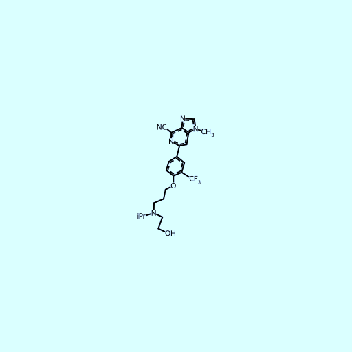 CC(C)N(CCO)CCCOc1ccc(-c2cc3c(ncn3C)c(C#N)n2)cc1C(F)(F)F